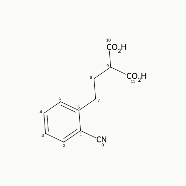 N#Cc1ccccc1CCC(C(=O)O)C(=O)O